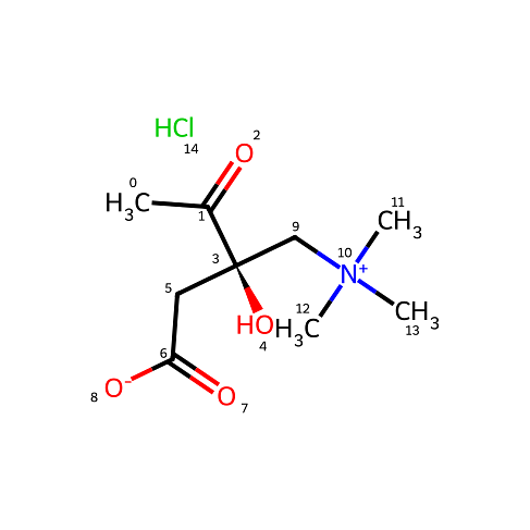 CC(=O)[C@@](O)(CC(=O)[O-])C[N+](C)(C)C.Cl